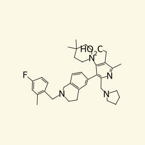 Cc1cc(F)ccc1CN1CCc2cc(-c3c(CN4CCCC4)nc(C)c(CC(=O)O)c3N3CCC(C)(C)CC3)ccc2C1